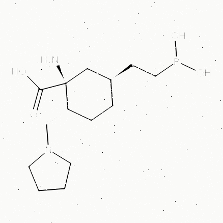 N[C@@]1(C(=O)O)C[C@@H](CCB(O)O)CC[C@@H]1CN1CCCC1